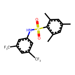 Cc1cc(C)c(S(=O)(=O)Nc2cc(C(F)(F)F)cc(C(F)(F)F)c2)c(C)c1